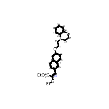 CCOC(=O)/C(=C\c1ccc2cc(OCCN3CCSc4ccccc43)ccc2c1)OCC